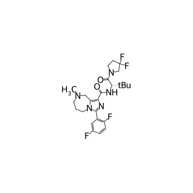 CN1CCCn2c(-c3cc(F)ccc3F)nc(C(=O)N[C@H](C(=O)N3CCC(F)(F)C3)C(C)(C)C)c2C1